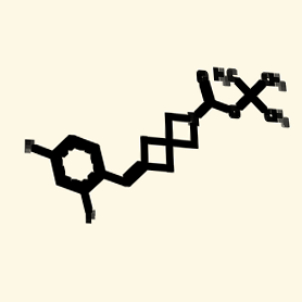 CC(C)(C)OC(=O)N1CC2(CC(=Cc3ccc(F)cc3F)C2)C1